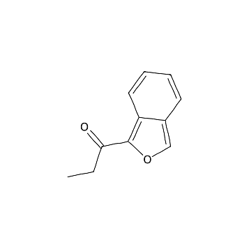 CCC(=O)c1occ2ccccc12